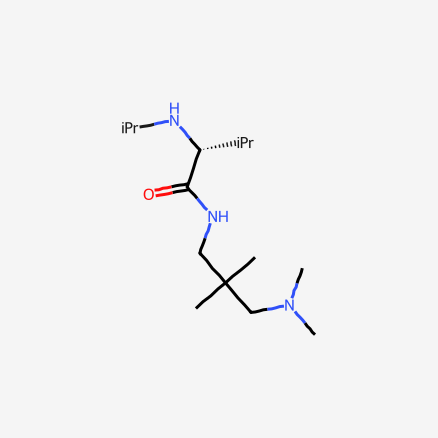 CC(C)N[C@@H](C(=O)NCC(C)(C)CN(C)C)C(C)C